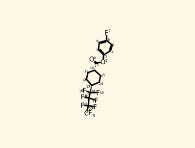 O=C(Oc1ccc(F)cc1)[C@H]1CC[C@H](C(F)(F)C(F)(F)C(F)(F)C(F)(F)F)CC1